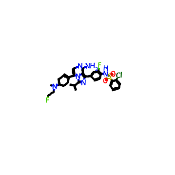 CC(C)c1nc(-c2ccc(NS(=O)(=O)c3ccccc3Cl)c(F)c2)c2c(N)ncc(C3=CCC(N(C)CCF)CC3)n12